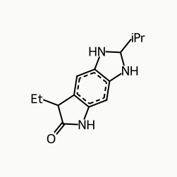 CCC1C(=O)Nc2cc3c(cc21)NC(C(C)C)N3